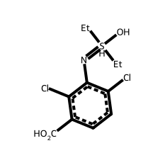 CC[SH](O)(CC)=Nc1c(Cl)ccc(C(=O)O)c1Cl